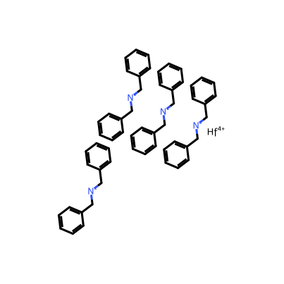 [Hf+4].c1ccc(C[N-]Cc2ccccc2)cc1.c1ccc(C[N-]Cc2ccccc2)cc1.c1ccc(C[N-]Cc2ccccc2)cc1.c1ccc(C[N-]Cc2ccccc2)cc1